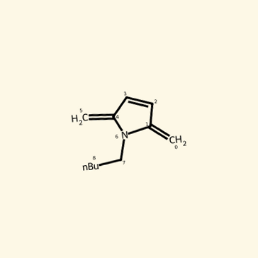 C=c1ccc(=C)n1CCCCC